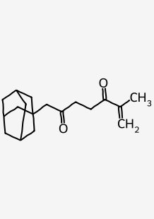 C=C(C)C(=O)CCC(=O)CC12CC3CC(CC(C3)C1)C2